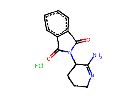 Cl.NC1=NCCCC1N1C(=O)c2ccccc2C1=O